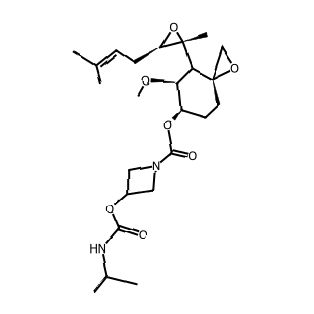 CO[C@H]1C([C@@]2(C)O[C@@H]2CC=C(C)C)[C@]2(CC[C@H]1OC(=O)N1CC(OC(=O)NC(C)C)C1)CO2